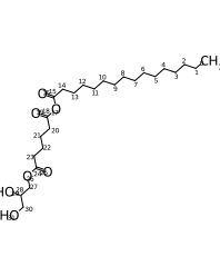 CCCCCCCCCCCCCCCC(=O)OC(=O)CCCCC(=O)OCC(O)CO